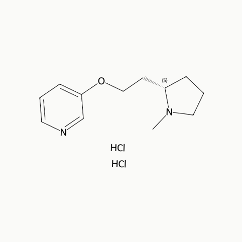 CN1CCC[C@H]1CCOc1cccnc1.Cl.Cl